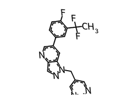 CC(F)(F)c1cc(-c2cnc3cnn(Cc4cncnc4)c3c2)ccc1F